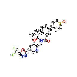 CC1(C)C(=O)N(Cc2ccc(-c3nnc(C(F)F)o3)cn2)C(=O)c2cc(C3=CC[S+]([O-])CC3)ccc21